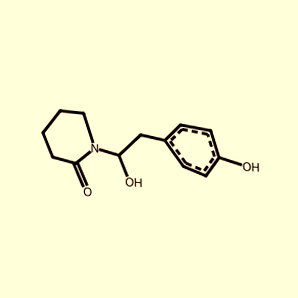 O=C1CCCCN1C(O)Cc1ccc(O)cc1